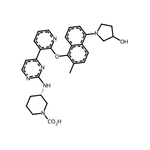 Cc1ccc2c(N3CCC(O)C3)cccc2c1Oc1ncccc1-c1ccnc(N[C@H]2CCCN(C(=O)O)C2)n1